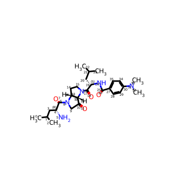 CC(C)C[C@@H](N)C(=O)N1CC(=O)[C@@H]2[C@H]1CCN2C(=O)[C@H](CC(C)C)NC(=O)c1ccc(N(C)C)cc1